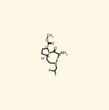 COC(=O)[C@@H]1CC[C@@H]2CCN(CC(F)F)C[C@H](N)C(=O)N21